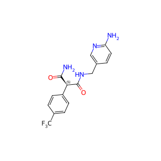 NC(=O)[C@@H](C(=O)NCc1ccc(N)nc1)c1ccc(C(F)(F)F)cc1